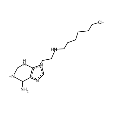 NC1NCNc2c1ncn2CCNCCCCCCO